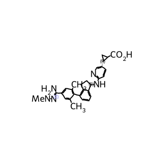 CN/N=C(\N)c1cc(C)c(-c2cccc3c2CC[C@H]3Nc2ccc([C@@H]3CC3C(=O)O)cn2)c(C)c1